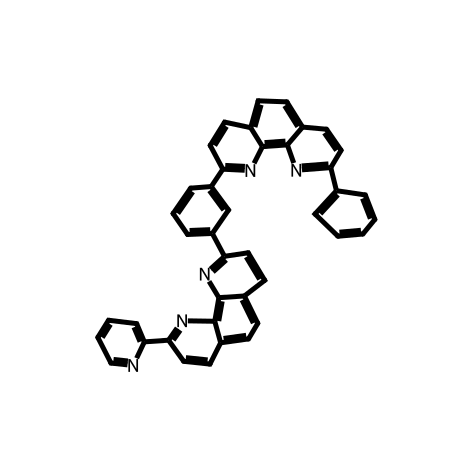 c1ccc(-c2ccc3ccc4ccc(-c5cccc(-c6ccc7ccc8ccc(-c9ccccn9)nc8c7n6)c5)nc4c3n2)cc1